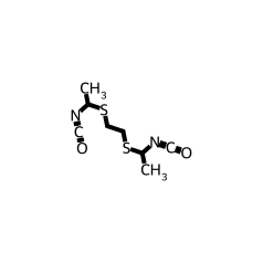 CC(N=C=O)SCCSC(C)N=C=O